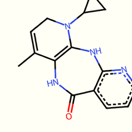 CC1=CCN(C2CC2)C2=C1NC(=O)c1cccnc1N2